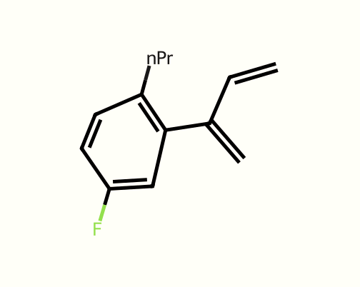 C=CC(=C)c1cc(F)ccc1CCC